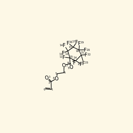 C=CC(=O)OCCOC(=O)C1(F)C(F)(F)C(F)(F)C(F)(F)C(F)(F)C1(F)F